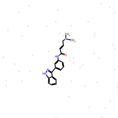 CN(C)C/C=C/C(=O)Nc1cccc(-c2n[nH]c3ccccc23)c1